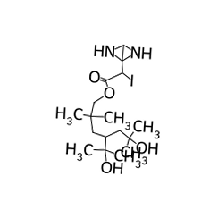 CC(C)(O)CC(CC(C)(C)COC(=O)C(I)C12NC1N2)C(C)(C)O